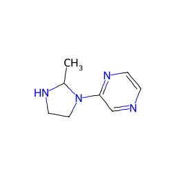 CC1NCCN1c1cnccn1